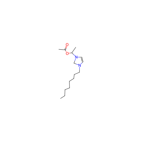 CCCCCCCCN1C=CN(C(C)OC(C)=O)C1